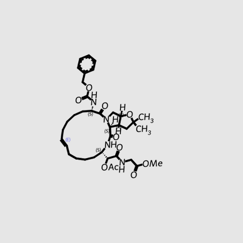 COC(=O)CNC(=O)C(OC(C)=O)[C@@H]1CCCC/C=C/CCCC[C@H](NC(=O)OCc2ccccc2)C(=O)N2C[C@@H]3OC(C)(C)C[C@@H]3[C@H]2C(=O)N1